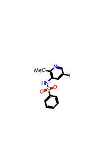 COc1ncc(I)cc1NS(=O)(=O)c1ccccc1